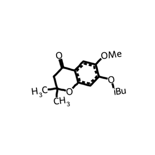 CCC(C)Oc1cc2c(cc1OC)C(=O)CC(C)(C)O2